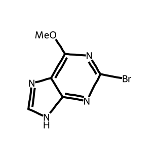 COc1nc(Br)nc2[nH]cnc12